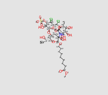 COC(=O)CCCCCCCCO[C@@H]1O[C@H](CO)[C@@H](O[C@@H]2O[C@H](CCl)[C@H](Cl)[C@H](OS(=O)(=O)[O-])[C@H]2O)[C@H](O[C@@H]2O[C@@H](C)[C@@H](O)[C@@H](O)[C@@H]2O)[C@]1(O)NC(C)=O.[Na+]